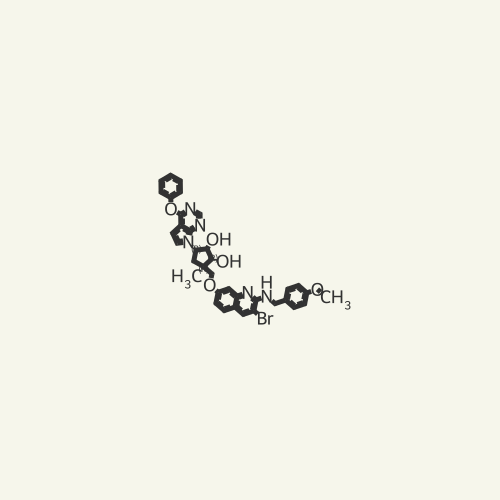 COc1ccc(CNc2nc3cc(OC[C@@]4(C)C[C@@H](n5ccc6c(Oc7ccccc7)ncnc65)C(O)[C@@H]4O)ccc3cc2Br)cc1